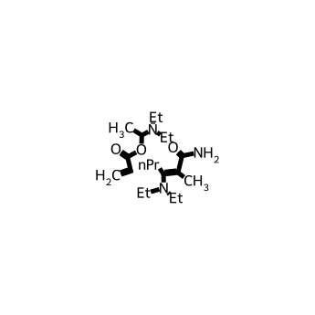 C=CC(=O)OC(C)N(CC)CC.CCC/C(=C(/C)C(N)=O)N(CC)CC